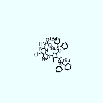 C=C1[C@H](C(C)O[Si](c2ccccc2)(c2ccccc2)C(C)(C)C)[C@@H](O[Si](c2ccccc2)(c2ccccc2)C(C)(C)C)C[C@@H]1n1cnc2c(Cl)nc(NC(=O)OC(C)(C)C)nc21